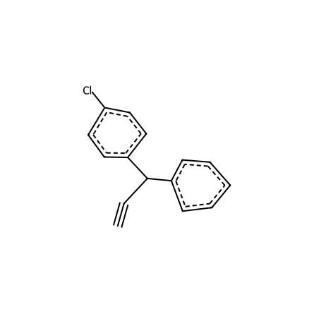 C#CC(c1ccccc1)c1ccc(Cl)cc1